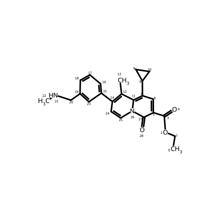 CCOC(=O)c1cc(C2CC2)c2c(C)c(-c3cccc(CNC)c3)ccn2c1=O